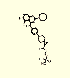 O=C(OCOP(=O)(O)O)C1CC12CCN(c1ccc(Nc3nc(N4CCCCCC4)nc4cn[nH]c(=O)c34)cc1)CC2